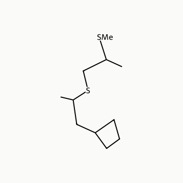 CSC(C)CSC(C)CC1CCC1